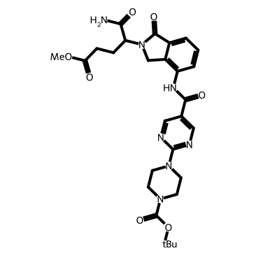 COC(=O)CCC(C(N)=O)N1Cc2c(NC(=O)c3cnc(N4CCN(C(=O)OC(C)(C)C)CC4)nc3)cccc2C1=O